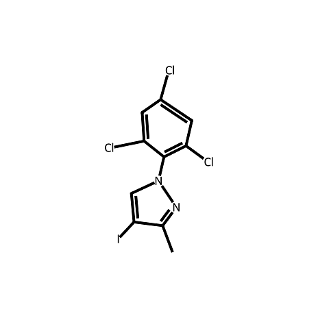 Cc1nn(-c2c(Cl)cc(Cl)cc2Cl)cc1I